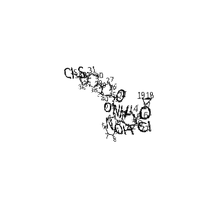 O=C(NC(CN1CCCC1)C(O)c1ccc(OC2CC2)c(Cl)c1)C(=O)c1ccc(-c2ccc3sc(Cl)cc3c2)cc1